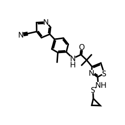 Cc1cc(-c2cncc(C#N)c2)ccc1NC(=O)C(C)(C)c1csc(NSC2CC2)n1